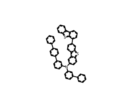 c1ccc(-c2ccc(-c3cccc(N(c4cccc(-c5ccccc5)c4)c4ccc5sc6cc(-c7cccc8c7sc7ccccc78)ccc6c5c4)c3)cc2)cc1